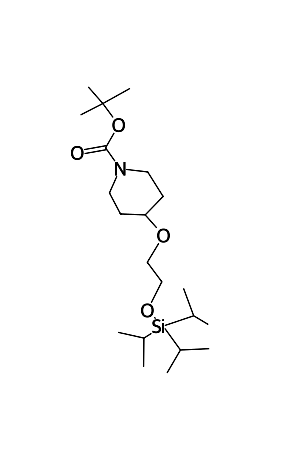 CC(C)[Si](OCCOC1CCN(C(=O)OC(C)(C)C)CC1)(C(C)C)C(C)C